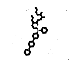 C=CC=C(/C=C\CN(c1ccccc1)c1ccc(-c2ccc(-c3ccccc3)cc2)cc1)/C(C)=C/C=C(/C)C(=C)/C=C\C=C